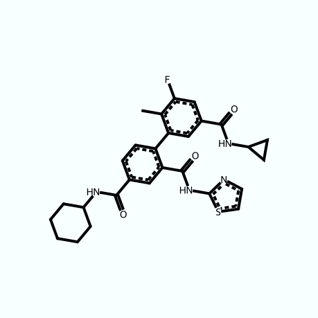 Cc1c(F)cc(C(=O)NC2CC2)cc1-c1ccc(C(=O)NC2CCCCC2)cc1C(=O)Nc1nccs1